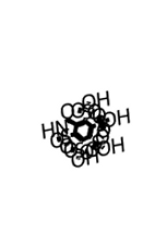 O=C1NS(=O)(=O)c2c1c(S(=O)(=O)O)c(S(=O)(=O)O)c(S(=O)(=O)O)c2S(=O)(=O)O